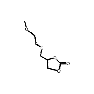 COCCOCC1COC(=O)O1